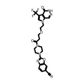 N#Cc1ccc2nc(N3CCN(C(=O)CCOCCn4cc(C(F)(F)F)c5c(=O)[nH]ncc54)CC3)oc2c1